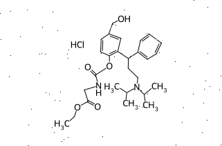 CCOC(=O)CNC(=O)Oc1ccc(CO)cc1C(CCN(C(C)C)C(C)C)c1ccccc1.Cl